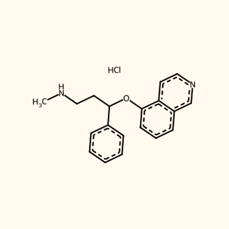 CNCCC(Oc1cccc2cnccc12)c1ccccc1.Cl